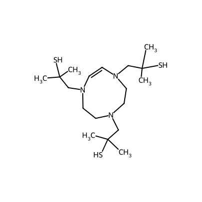 CC(C)(S)CN1/C=C\N(CC(C)(C)S)CCN(CC(C)(C)S)CC1